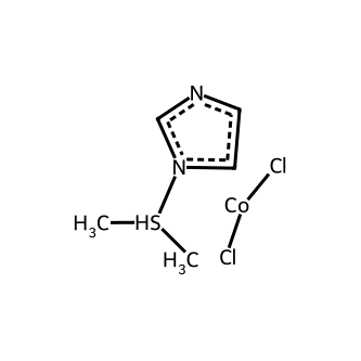 C[SH](C)n1ccnc1.[Cl][Co][Cl]